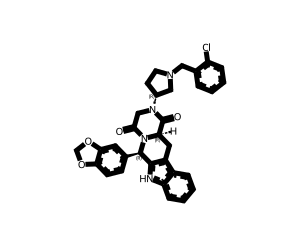 O=C1[C@H]2Cc3c([nH]c4ccccc34)[C@@H](c3ccc4c(c3)OCO4)N2C(=O)CN1[C@@H]1CCN(Cc2ccccc2Cl)C1